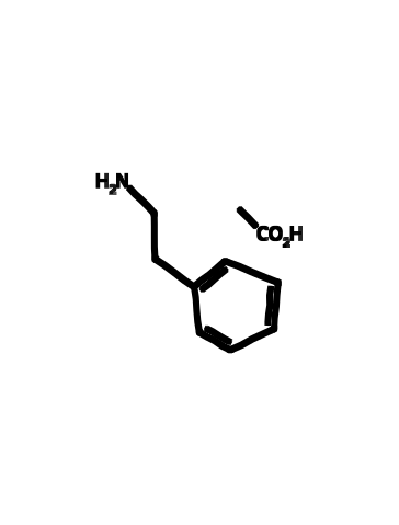 CC(=O)O.NCCc1ccccc1